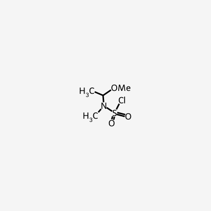 COC(C)N(C)S(=O)(=O)Cl